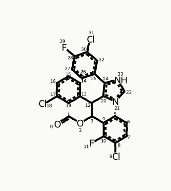 O=COC(c1cccc(Cl)c1F)C(c1cccc(Cl)c1)c1nc[nH]c1-c1ccc(F)c(Cl)c1